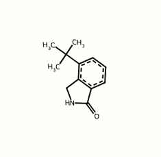 CC(C)(C)c1cccc2c1CNC2=O